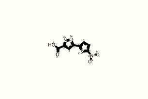 O=C(O)c1cc(-c2ccc([N+](=O)[O-])s2)on1